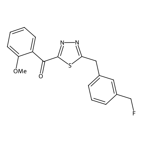 COc1ccccc1C(=O)c1nnc(Cc2cccc(CF)c2)s1